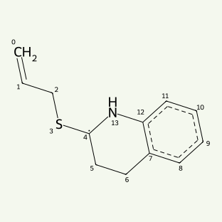 C=CCS[C]1CCc2ccccc2N1